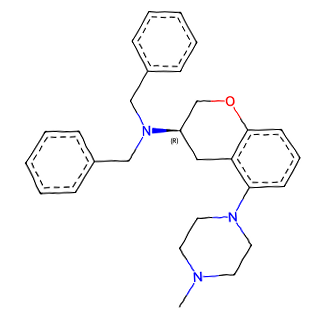 CN1CCN(c2cccc3c2C[C@@H](N(Cc2ccccc2)Cc2ccccc2)CO3)CC1